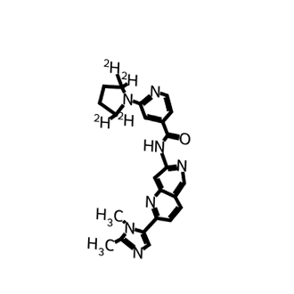 [2H]C1([2H])CCC([2H])([2H])N1c1cc(C(=O)Nc2cc3nc(-c4cnc(C)n4C)ccc3cn2)ccn1